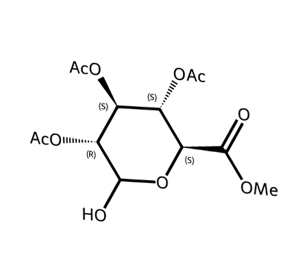 COC(=O)[C@H]1OC(O)[C@H](OC(C)=O)[C@@H](OC(C)=O)[C@@H]1OC(C)=O